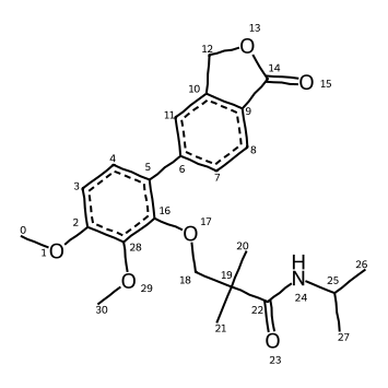 COc1ccc(-c2ccc3c(c2)COC3=O)c(OCC(C)(C)C(=O)NC(C)C)c1OC